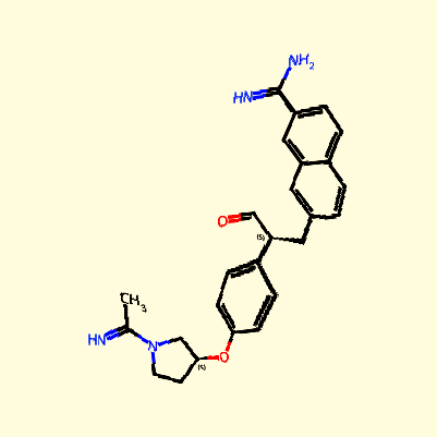 CC(=N)N1CC[C@H](Oc2ccc([C@@H](C=O)Cc3ccc4ccc(C(=N)N)cc4c3)cc2)C1